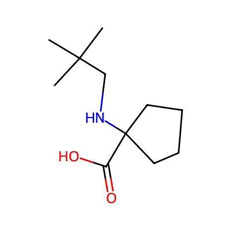 CC(C)(C)CNC1(C(=O)O)CCCC1